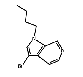 CCCCn1cc(Br)c2ccncc21